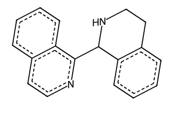 c1ccc2c(c1)CCNC2c1nccc2ccccc12